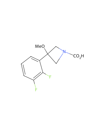 COC1(c2cccc(F)c2F)CN(C(=O)O)C1